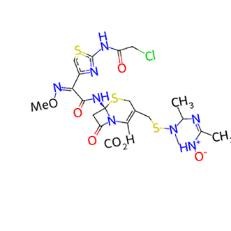 CO/N=C(\C(=O)N[C@]12CC(=O)N1C(C(=O)O)=C(CSN1C[NH+]([O-])C(C)=NC1C)CS2)c1csc(NC(=O)CCl)n1